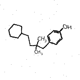 CC(C)(CCC1CCCCC1)Cc1ccc(O)cc1